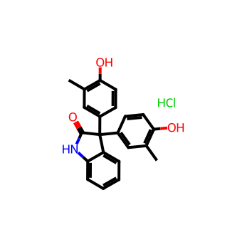 Cc1cc(C2(c3ccc(O)c(C)c3)C(=O)Nc3ccccc32)ccc1O.Cl